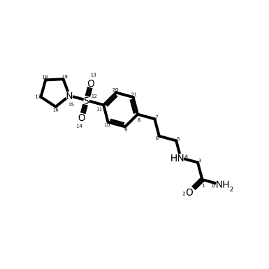 NC(=O)CNCCCc1ccc(S(=O)(=O)N2CCCC2)cc1